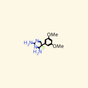 COc1cc(OC)cc(C2(F)C=NC(N)N=C2N)c1